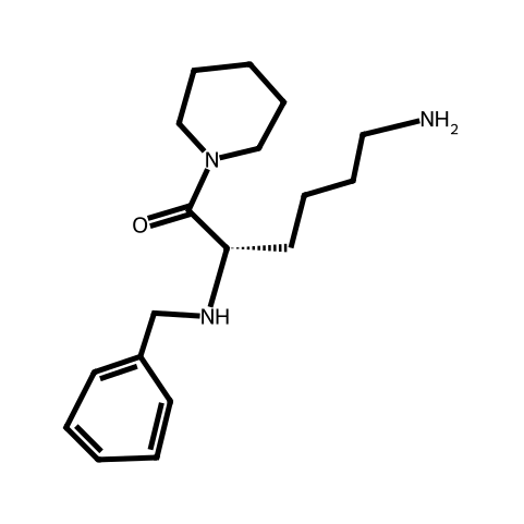 NCCCC[C@H](NCc1ccccc1)C(=O)N1CCCCC1